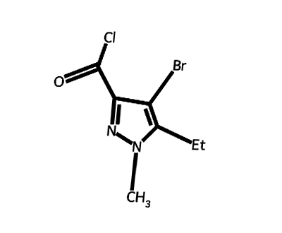 CCc1c(Br)c(C(=O)Cl)nn1C